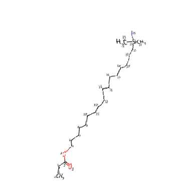 C=CC(=O)OCCCCCCCCCCCCCCCCC[Si](C)(C)I